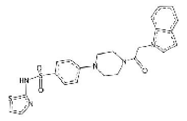 O=C(Cn1ccc2ccccc21)N1CCN(c2ccc(S(=O)(=O)Nc3nccs3)cc2)CC1